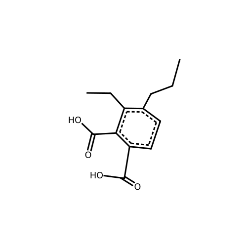 CCCc1ccc(C(=O)O)c(C(=O)O)c1CC